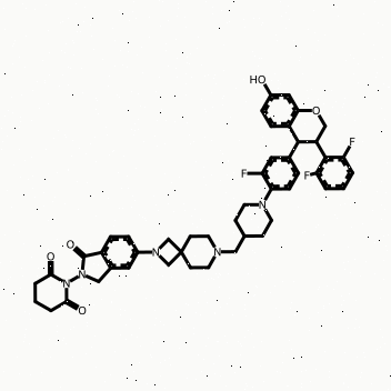 O=C1c2ccc(N3CC4(CCN(CC5CCN(c6ccc(C7c8ccc(O)cc8OCC7c7c(F)cccc7F)cc6F)CC5)CC4)C3)cc2CN1N1C(=O)CCCC1=O